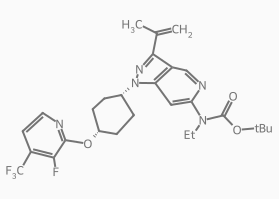 C=C(C)c1nn([C@H]2CC[C@@H](Oc3nccc(C(F)(F)F)c3F)CC2)c2cc(N(CC)C(=O)OC(C)(C)C)ncc12